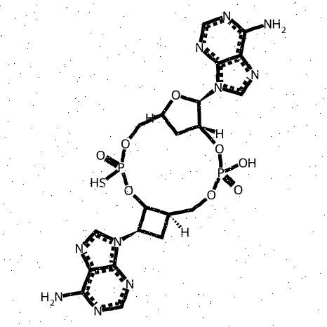 Nc1ncnc2c1ncn2[C@@H]1C[C@@H]2COP(=O)(O)O[C@@H]3C[C@@H](COP(=O)(S)OC21)O[C@H]3n1cnc2c(N)ncnc21